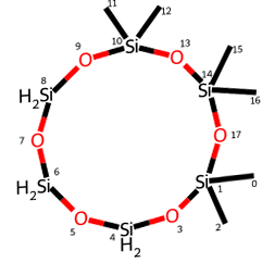 C[Si]1(C)O[SiH2]O[SiH2]O[SiH2]O[Si](C)(C)O[Si](C)(C)O1